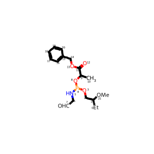 CCC(COP(NCC=O)OC(C)C(=O)OCc1ccccc1)OC